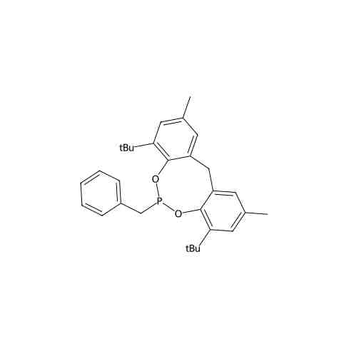 Cc1cc2c(c(C(C)(C)C)c1)OP(Cc1ccccc1)Oc1c(cc(C)cc1C(C)(C)C)C2